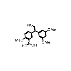 COc1cc(OC)cc(C(=CC#N)c2ccc(OC)c(N(O)O)c2)c1